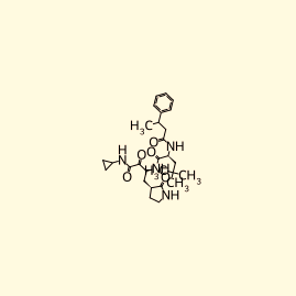 CC(CC(=O)N[C@@H](CC(C)(C)C)C(=O)NC(C[C@@H]1CCNC1=O)C(=O)C(=O)NC1CC1)c1ccccc1